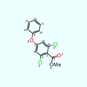 COC(=O)c1c(Cl)cc(Oc2ccccc2)cc1Cl